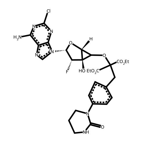 CCOC(=O)C(Cc1ccc(N2CCCNC2=O)cc1)(OC1[C@H]2O[C@@H](n3cnc4c(N)nc(Cl)nc43)[C@@H](F)[C@@]12O)C(=O)OCC